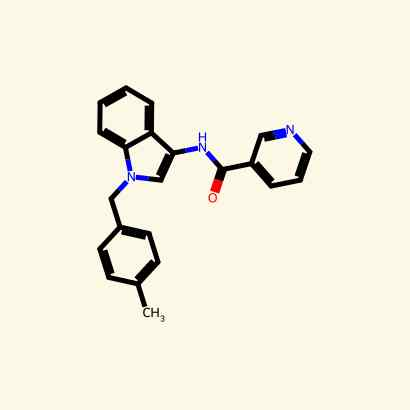 Cc1ccc(Cn2cc(NC(=O)c3cccnc3)c3ccccc32)cc1